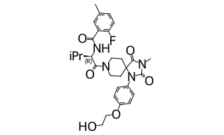 Cc1ccc(F)c(C(=O)N[C@@H](C(=O)N2CCC3(CC2)C(=O)N(C)C(=O)N3c2ccc(OCCO)cc2)C(C)C)c1